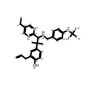 C=CCc1cc(C(C)(C)C(NCc2ccc(OC(F)(F)F)cc2)c2ncc(CC)cn2)ccc1O